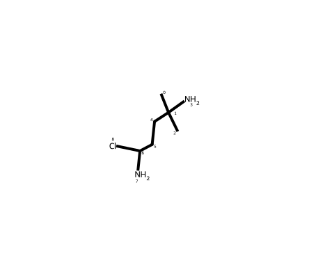 CC(C)(N)CCC(N)Cl